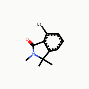 CCc1cccc2c1C(=O)N(C)C2(C)C